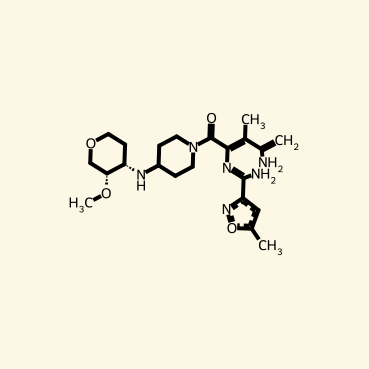 C=C(N)/C(C)=C(\N=C(/N)c1cc(C)on1)C(=O)N1CCC(N[C@H]2CCOC[C@H]2OC)CC1